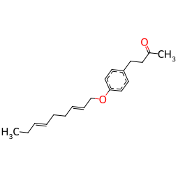 CCC=CCCC=CCOc1ccc(CCC(C)=O)cc1